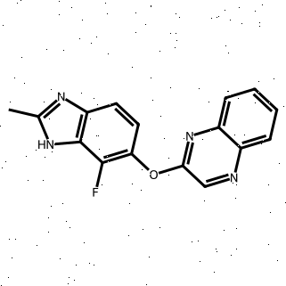 Cc1nc2ccc(Oc3cnc4ccccc4n3)c(F)c2[nH]1